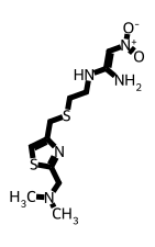 CN(C)Cc1nc(CSCCNC(N)=C[N+](=O)[O-])cs1